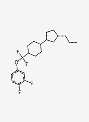 CCCC1CCC(C2CCC(C(F)(F)Oc3ccc(F)c(F)c3)CC2)C1